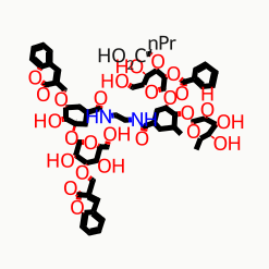 CCC[C@H](OC1C(OC(=O)c2ccccc2)[C@H](O[C@@H]2CC(C(=O)NCCNC(=O)C3CC(OCc4cc5ccccc5oc4=O)C(O)[C@H](O[C@@H]4OC(CO)[C@H](O)C(OCc5cc6ccccc6oc5=O)C4O)C3)CC(C)C2O[C@@H]2OC(C)[C@@H](O)C(O)C2O)OC(CO)[C@@H]1O)C(=O)O